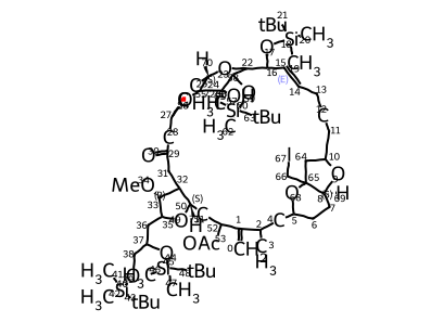 C=C1C(C)CC2CC[C@@H]3OC(CCC/C=C/C(O[Si](C)(C)C(C)(C)C)C4O[C@H]5CCC(CC(=O)CC6[C@@H](OC)C(CC(CO[Si](C)(C)C(C)(C)C)O[Si](C)(C)C(C)(C)C)O[C@H]6CC1OC(C)=O)OC5[C@H](O)C4O[Si](C)(C)C(C)(C)C)CC3(CI)O2